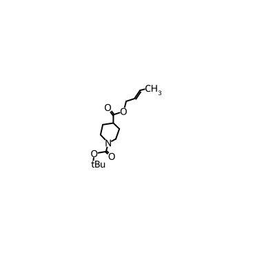 C/C=C/COC(=O)C1CCN(C(=O)OC(C)(C)C)CC1